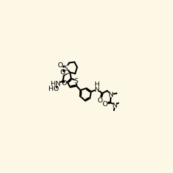 CN(C)C(=O)N(C)CC(=O)Nc1cccc(-c2ccc([C@@]3(CC(=O)NO)CCCCS3(=O)=O)s2)c1